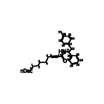 CCCCCCCCCCCCCCCC#CC(=O)NC(Cc1ccc(C)cc1)c1ccccc1